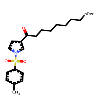 CCCCCCCCCCCCCCCCCC(=O)c1ccn(S(=O)(=O)c2ccc(C)cc2)c1